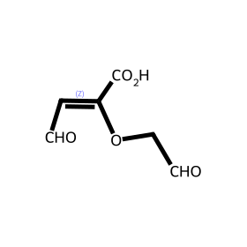 O=C/C=C(\OCC=O)C(=O)O